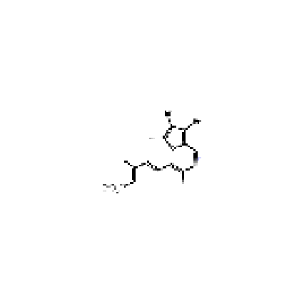 CCOC(=O)C=C(C)C=CC=C(C)/C=C\c1sc(C)c(Br)c1Br